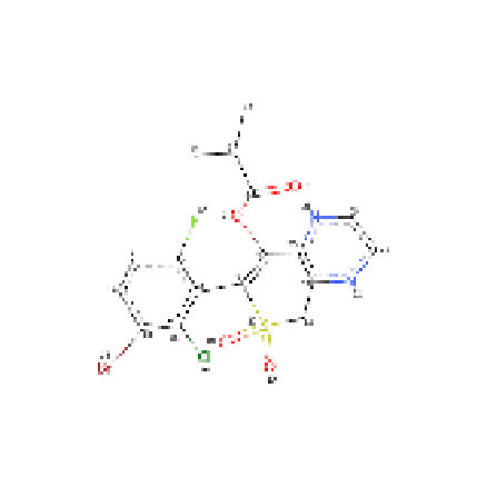 CC(C)C(=O)OC1=C(c2c(F)ccc(Br)c2Cl)S(=O)(=O)Cc2nccnc21